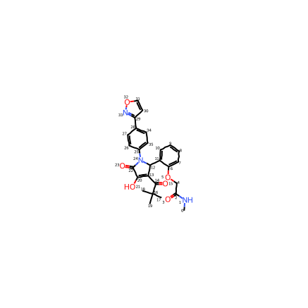 CNC(=O)COc1ccccc1C1C(C(=O)C(C)(C)C)=C(O)C(=O)N1c1ccc(-c2ccon2)cc1